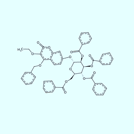 CCOc1c(OCc2ccccc2)c2ccc(O[C@H]3O[C@H](COC(=O)c4ccccc4)[C@@H](OC(=O)c4ccccc4)[C@H](OC(=O)c4ccccc4)[C@@H]3OC(=O)c3ccccc3)cc2oc1=O